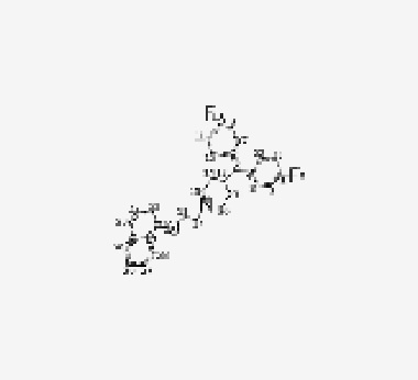 Fc1ccc(C(c2ccc(F)cc2)C2CCN(CCOc3cccc4ccccc34)CC2)cc1